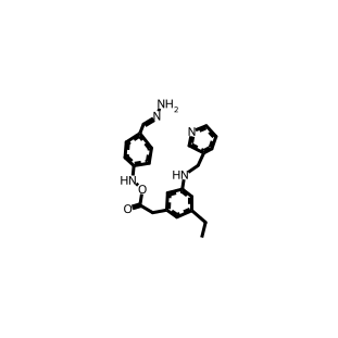 CCc1cc(CC(=O)ONc2ccc(C=NN)cc2)cc(NCc2cccnc2)c1